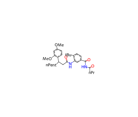 CCCCCC(CC(=O)Nc1cc(C(=O)NC(=O)CCC)ccc1C(C)(C)C)c1ccc(OC)cc1OC